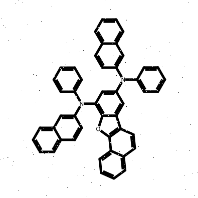 c1ccc(N(c2ccc3ccccc3c2)c2cc(N(c3ccccc3)c3ccc4ccccc4c3)c3oc4c5ccccc5ccc4c3c2)cc1